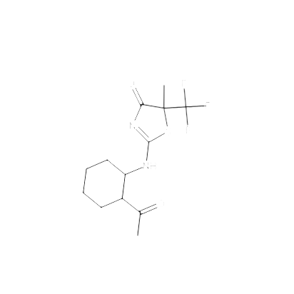 CC(=O)C1CCCCC1NC1=NC(=O)C(C)(C(F)(F)F)S1